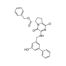 O=C(OCc1ccccc1)[C@@H]1CCc2c(Cl)nc(NCc3cc(O)cc(-c4ccccc4)c3)c(=O)n21